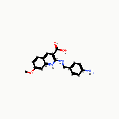 COc1ccc2cc(C(=O)O)c(NCc3ccc(N)cc3)nc2c1